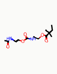 CCC(C)(C)C(=O)OCCNC(=O)OCCNC(C)=O